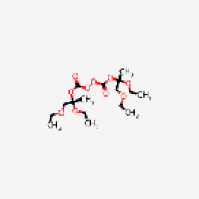 CCOCC(C)(OCC)OC(=O)OOC(=O)OC(C)(COCC)OCC